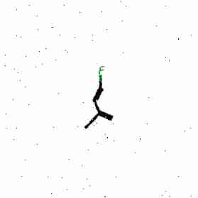 C=C(C)/C=C/F